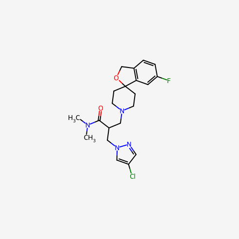 CN(C)C(=O)C(CN1CCC2(CC1)OCc1ccc(F)cc12)Cn1cc(Cl)cn1